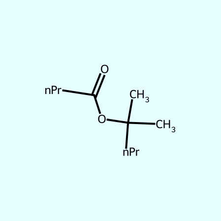 [CH2]CCC(C)(C)OC(=O)CCC